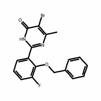 Cc1nc(-c2cccc(F)c2OCc2ccccc2)[nH]c(=O)c1Br